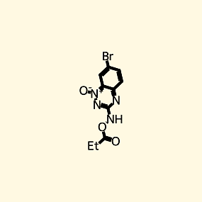 CCC(=O)ONc1nc2ccc(Br)cc2[n+]([O-])n1